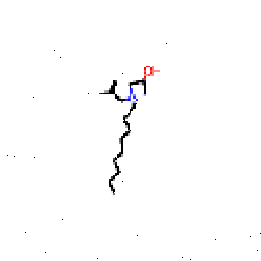 C=C(C)C[N+]1(CCCCCCCCC)CC(O)C1